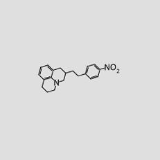 O=[N+]([O-])c1ccc(CCC2Cc3cccc4c3N(CCC4)C2)cc1